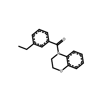 CCc1cccc(C(=O)N2CCOc3ccccc32)c1